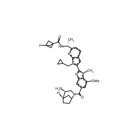 COc1cc(C(=O)N2C[C@H](N)[C@H]3CCC2C3)cc2nc(-c3cc4ccc([C@@H](C)NC(=O)C56CC(F)(C5)C6)nc4n3CC3CC3)n(C)c12